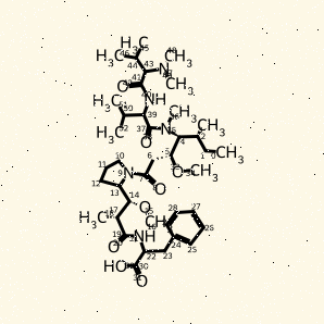 CC[C@H](C)[C@@H]([C@@H](CC(=O)N1CCCC1[C@H](OC)[C@@H](C)C(=O)NC(Cc1ccccc1)C(=O)O)OC)N(C)C(=O)C(NC(=O)C(C(C)C)N(C)C)C(C)C